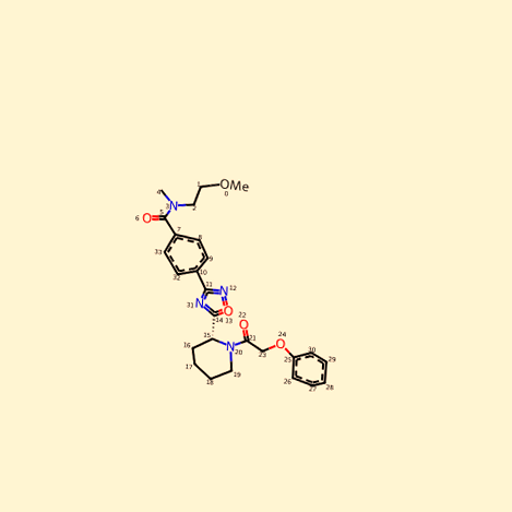 COCCN(C)C(=O)c1ccc(-c2noc([C@H]3CCCCN3C(=O)COc3ccccc3)n2)cc1